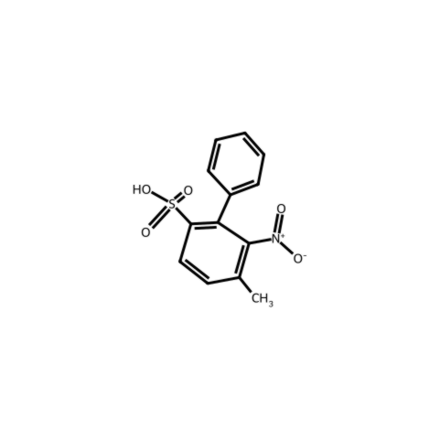 Cc1ccc(S(=O)(=O)O)c(-c2ccccc2)c1[N+](=O)[O-]